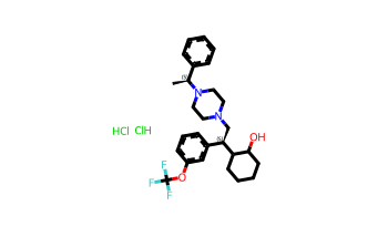 C[C@@H](c1ccccc1)N1CCN(C[C@H](c2cccc(OC(F)(F)F)c2)C2CCCCC2O)CC1.Cl.Cl